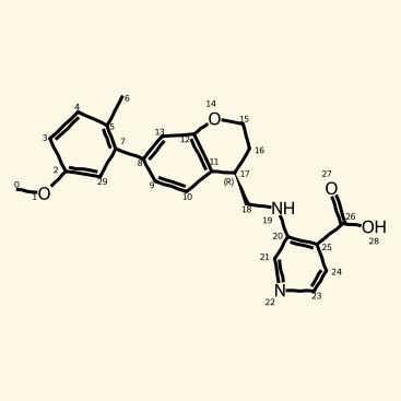 COc1ccc(C)c(-c2ccc3c(c2)OCC[C@H]3CNc2cnccc2C(=O)O)c1